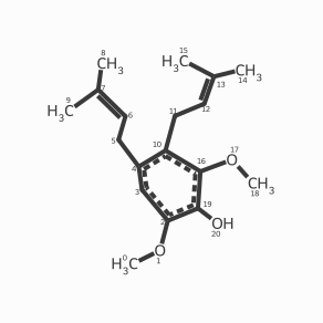 COc1cc(CC=C(C)C)c(CC=C(C)C)c(OC)c1O